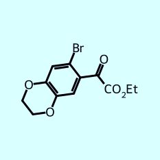 CCOC(=O)C(=O)c1cc2c(cc1Br)OCCO2